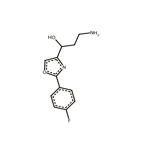 NCCC(O)c1coc(-c2ccc(F)cc2)n1